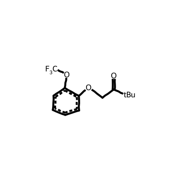 CC(C)(C)C(=O)COc1ccccc1OC(F)(F)F